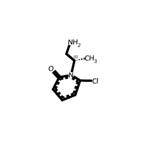 C[C@@H](CN)n1c(Cl)cccc1=O